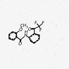 COc1ccccc1C(=O)Nc1ccccc1C(=O)C(F)(F)F